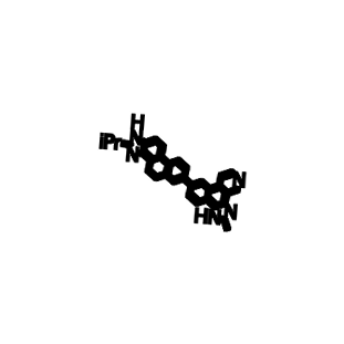 Cc1nc2c3cnccc3c3cc(-c4ccc5c(c4)CCc4c-5ccc5[nH]c(C(C)C)nc45)ccc3c2[nH]1